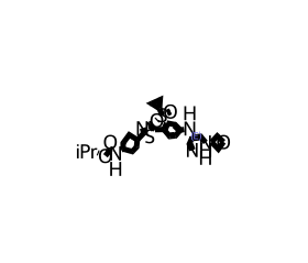 CC(C)OC(=O)NC1CCC(c2ncc(-c3ccc(N/C(C=N)=C/NC4COC4)cc3S(=O)(=O)C3CC3)s2)CC1